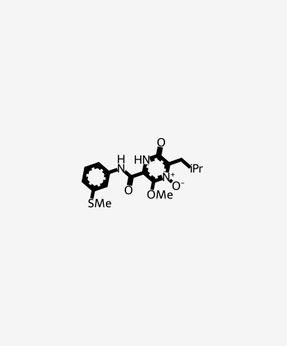 COc1c(C(=O)Nc2cccc(SC)c2)[nH]c(=O)c(CC(C)C)[n+]1[O-]